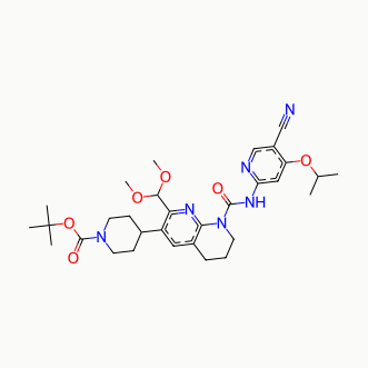 COC(OC)c1nc2c(cc1C1CCN(C(=O)OC(C)(C)C)CC1)CCCN2C(=O)Nc1cc(OC(C)C)c(C#N)cn1